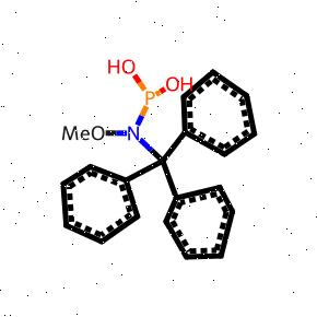 CON(P(O)O)C(c1ccccc1)(c1ccccc1)c1ccccc1